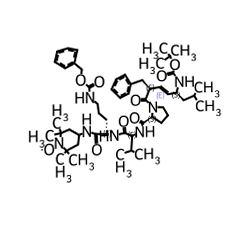 CC(C)C[C@@H](/C=C/[C@H](Cc1ccccc1)C(=O)N1CCC[C@H]1C(=O)N[C@H](C(=O)N[C@@H](CCCNC(=O)OCc1ccccc1)C(=O)NC1CC(C)(C)N([O])C(C)(C)C1)C(C)C)NC(=O)OC(C)(C)C